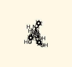 N[C@@H](Cc1ccccc1)C(=O)N[C@@H](Cc1ccc(O)cc1)C(=O)N[C@@H](Cc1ccc(O)cc1)C(=O)O